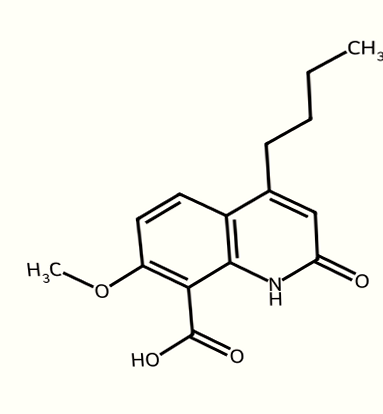 CCCCc1cc(=O)[nH]c2c(C(=O)O)c(OC)ccc12